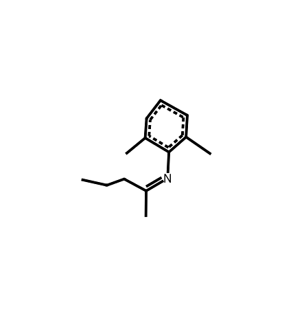 CCCC(C)=Nc1c(C)cccc1C